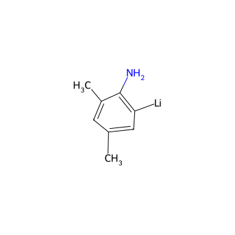 [Li][c]1cc(C)cc(C)c1N